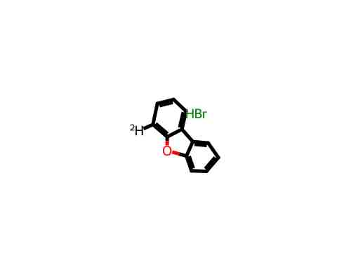 Br.[2H]c1cccc2c1oc1ccccc12